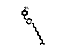 CC(C)CCCCCCCCCN1CCN(Cc2ccc(N)cc2)CC1